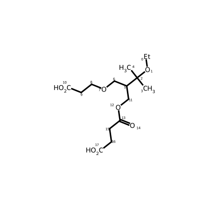 CCOC(C)(C)C(COCCC(=O)O)COC(=O)CCC(=O)O